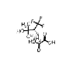 CC(C)(O)[C@@H](N)C(F)(F)F.O=C(O)C(=O)O